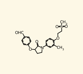 Cc1cc(N2CCC(Oc3ccc(C=O)cc3)C2=O)ccc1OCCS(C)(=O)=O